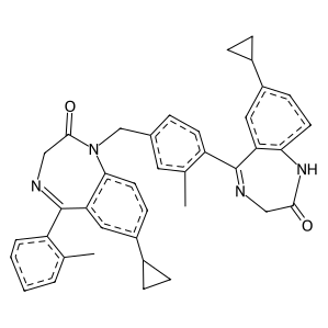 Cc1cc(CN2C(=O)CN=C(c3ccccc3C)c3cc(C4CC4)ccc32)ccc1C1=NCC(=O)Nc2ccc(C3CC3)cc21